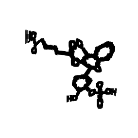 O=C(O)CCCCC(=O)Oc1c(-c2ccc(O)c(OS(=O)(=O)O)c2)oc2ccccc2c1=O